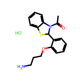 CC(=O)N1c2ccccc2SC1c1ccccc1OCCCN.Cl